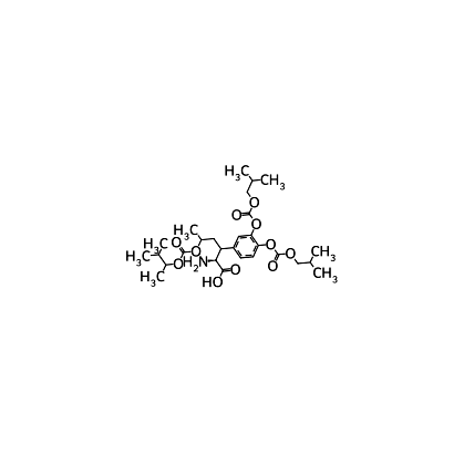 CC(C)COC(=O)Oc1ccc(C(CC(C)OC(=O)OC(C)C(C)C)[C@H](N)C(=O)O)cc1OC(=O)OCC(C)C